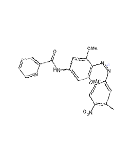 COc1cc(NC(=O)c2ccccn2)cc(OC)c1/N=N\c1ccc([N+](=O)[O-])c(C)c1